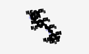 CC(=O)OC(C)(C)/C=C\C(=O)NC1C[C@H](C)[C@H](C/C=C(C)/C=C/[C@H]2OC(C)(C)C[C@@]3(CO3)[C@@H]2O)O[C@@H]1C